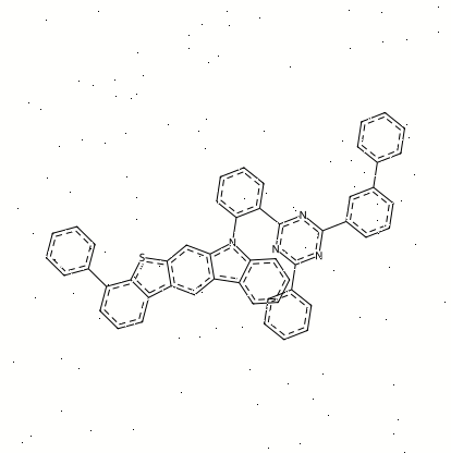 c1ccc(-c2cccc(-c3nc(-c4ccccc4)nc(-c4ccccc4-n4c5ccccc5c5cc6c(cc54)sc4c(-c5ccccc5)cccc46)n3)c2)cc1